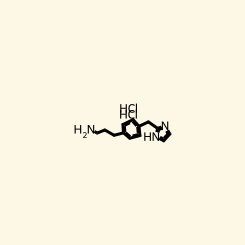 Cl.Cl.NCCCc1ccc(Cc2ncc[nH]2)cc1